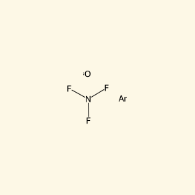 FN(F)F.[Ar].[O]